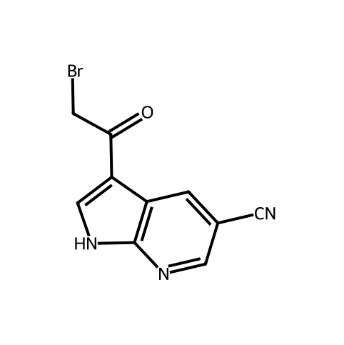 N#Cc1cnc2[nH]cc(C(=O)CBr)c2c1